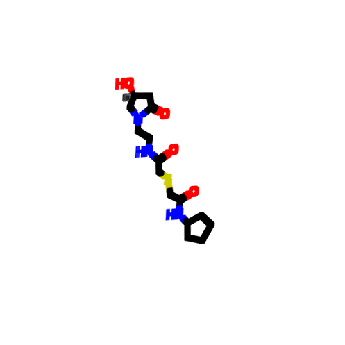 O=C(CSCC(=O)NC1CCCC1)NCCN1C[C@@H](O)CC1=O